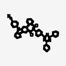 N#Cc1ccc(-n2c3ccccc3c3cc4c(=O)n(-c5ccc(-c6nc(-c7ccccc7)nc(-c7ccccc7)n6)cc5)c(=O)c5ccccc5c4cc32)cc1